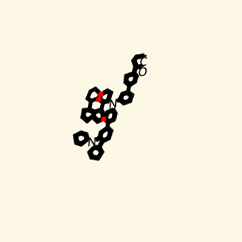 c1ccc(-n2c3ccccc3c3ccc(-c4ccc(N(c5cccc(-c6ccc7c(c6)oc6ccccc67)c5)c5ccccc5-c5cccc6cccc(C7CCCCC7)c56)cc4)cc32)cc1